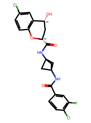 O=C(NC12CC(NC(=O)[C@H]3C[C@@H](O)c4cc(Cl)ccc4O3)(C1)C2)c1ccc(Cl)c(F)c1